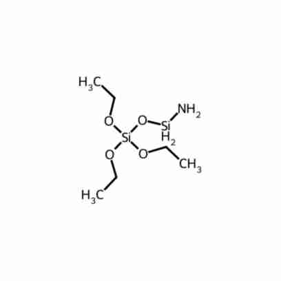 CCO[Si](OCC)(OCC)O[SiH2]N